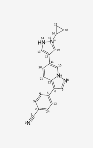 N#Cc1ccc(-c2cnn3cc(-c4c[nH][n+](C5CC5)c4)ccc23)cc1